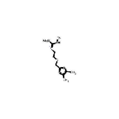 CN/C(=N/CCSCc1nc(C)c(C)s1)NC#N